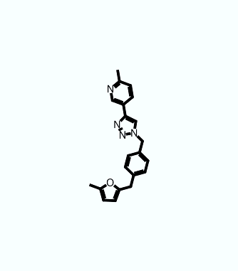 Cc1ccc(-c2cn(Cc3ccc(Cc4ccc(C)o4)cc3)nn2)cn1